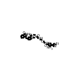 CCn1cc(-c2cnc(C(=O)NCCOCCNCC(=O)N3CCN(C(=O)c4cc(Cc5n[nH]c(=O)c6ccccc56)ccc4F)CC3)c(N)c2)cn1